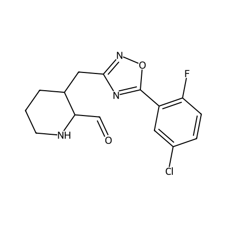 O=CC1NCCCC1Cc1noc(-c2cc(Cl)ccc2F)n1